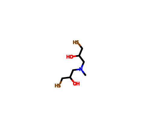 CN(CC(O)CS)CC(O)CS